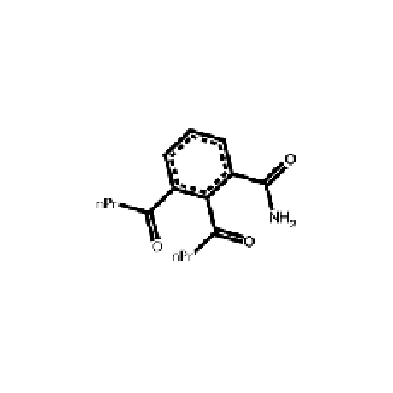 CCCC(=O)c1cccc(C(N)=O)c1C(=O)CCC